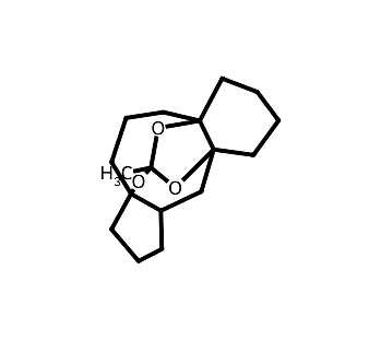 CC12OC34CCCC3CC3(CCCCC3(CCC4)O1)O2